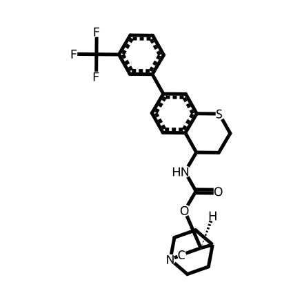 O=C(NC1CCSc2cc(-c3cccc(C(F)(F)F)c3)ccc21)O[C@@H]1CN2CCC1CC2